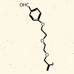 C=C(F)COCCOCCOc1ccc(C=O)cc1